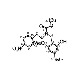 COc1cc(O)c(CN(CCc2ccc([N+](=O)[O-])cc2)C(=O)OC(C)(C)C)c(OC)c1